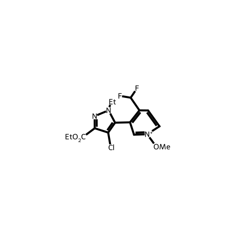 CCOC(=O)c1nn(CC)c(-c2c[n+](OC)ccc2C(F)F)c1Cl